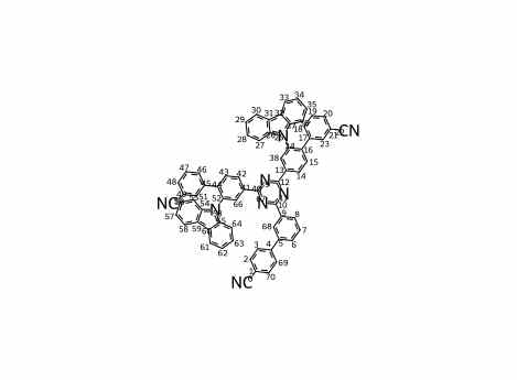 N#Cc1ccc(-c2cccc(-c3nc(-c4ccc(-c5cccc(C#N)c5)c(-n5c6ccccc6c6ccccc65)c4)nc(-c4ccc(-c5cccc(C#N)c5)c(-n5c6ccccc6c6ccccc65)c4)n3)c2)cc1